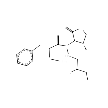 CCCCCO[C@H](Cc1ccccc1)C(=O)N(NCC(N)CS)C1C(=O)OC[C@H]1C